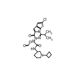 CC(C)c1nn([C@H](OC=O)C(=O)NC2CCCN(C3CCC3)C2)c(=O)c2cc3cc(Cl)sc3n12